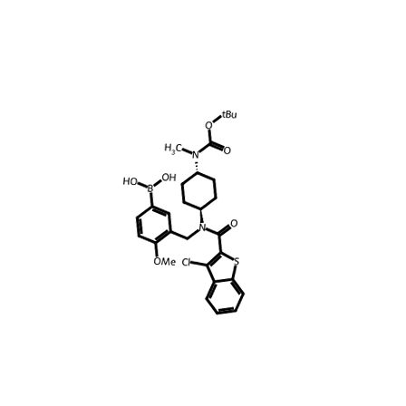 COc1ccc(B(O)O)cc1CN(C(=O)c1sc2ccccc2c1Cl)[C@H]1CC[C@H](N(C)C(=O)OC(C)(C)C)CC1